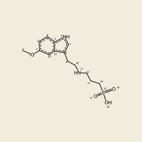 COc1ccc2[nH]cc(CCNCCCS(=O)(=O)O)c2c1